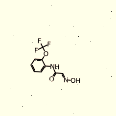 O=C(/C=N/O)Nc1ccccc1OC(F)(F)F